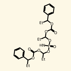 CCC(OC(=O)OC(CC)c1ccccc1)OP([NH])(=O)OC(CC)OC(=O)OC(CC)c1ccccc1